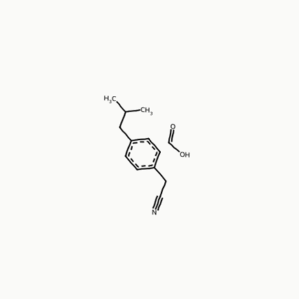 CC(C)Cc1ccc(CC#N)cc1.O=CO